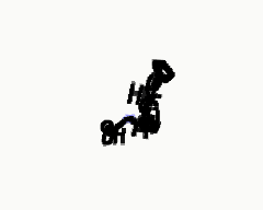 O=C(O)CCC/C=C\C[C@@H]1[C@H](CCOC(=S)NCOc2ccccc2)[C@@H]2CC[C@H]1O2